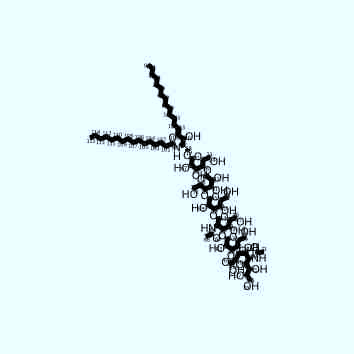 CCCCCCCCCCCCC/C=C/[C@@H](O)[C@H](CO[C@@H]1OC(CO)[C@@H](O[C@@H]2OC(CO)[C@H](O[C@@H]3OC(CO)[C@H](O)[C@H](O[C@@H]4OC(CO)[C@H](O)[C@H](O[C@@H]5OC(CO)[C@H](O)[C@H](O[C@]6(C(=O)O)CC(O)[C@@H](NC(C)=O)C([C@H](O)[C@H](O)CO)O6)C5O)C4NC(C)=O)C3O)[C@H](O)C2O)[C@H](O)C1O)NC(=O)CCCCCCCCCCCCCCC